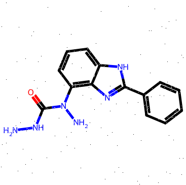 NNC(=O)N(N)c1cccc2[nH]c(-c3ccccc3)nc12